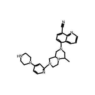 CC1CN(c2ccc(C#N)c3ncccc23)CC2CN(c3cc(N4CCNCC4)ccn3)CCN12